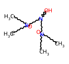 CCCCCCCCCCN(CCCCCCCCCC)C(=O)CCCCCCCN(CCCCCCCC(=O)N(CCCCCCCCCC)CCCCCCCCCC)C1CC2(CC(O)C2)C1